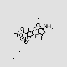 Cc1c(Oc2c(F)c(F)cc(N)c2Cl)ccc([N+](=O)[O-])c1C(=O)OC(C)(C)C